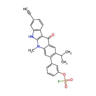 C#Cc1ccc2c(c1)[nH]c1c2c(=O)c2cc(C(C)C)c(-c3cccc(OS(=O)(=O)F)c3)cc2n1C